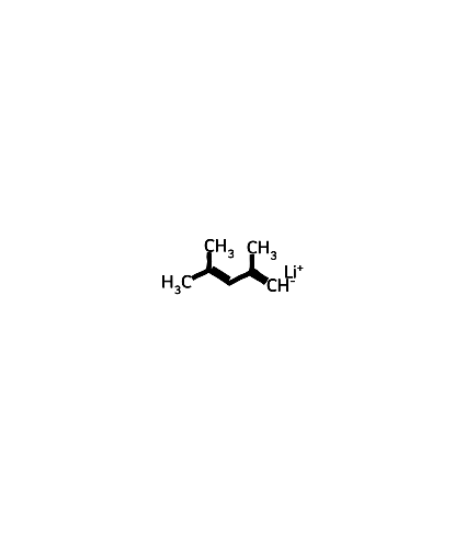 [CH-]=C(C)C=C(C)C.[Li+]